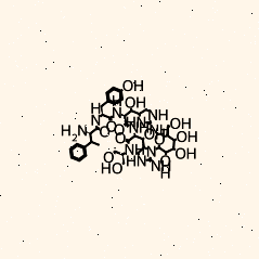 CC(c1ccccc1)[C@H](N)C(=O)N[C@@H](Cc1ccc(O)cc1)C(=O)N[C@H](C(=O)N[C@H](C(=O)N[C@H]([C]=O)CO)C(O)C1CNC(=N)N1C1OC(CO)C(O)C(O)C1O)C(O)C1CNC(=N)N1